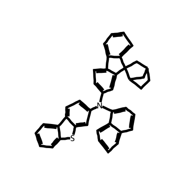 c1ccc2c(c1)-c1ccc(N(c3ccc4c(c3)sc3ccccc34)c3cccc4ccccc34)cc1C21CC2CCC1C2